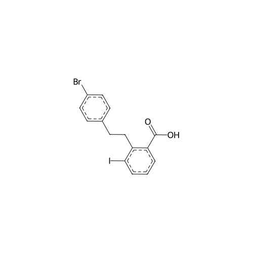 O=C(O)c1cccc(I)c1CCc1ccc(Br)cc1